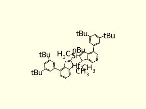 CCCC[Si]1(C)C2=Cc3c(-c4cc(C(C)(C)C)cc(C(C)(C)C)c4)cccc3[CH]2[Hf]([CH3])([CH3])[CH]2C1=Cc1c(-c3cc(C(C)(C)C)cc(C(C)(C)C)c3)cccc12